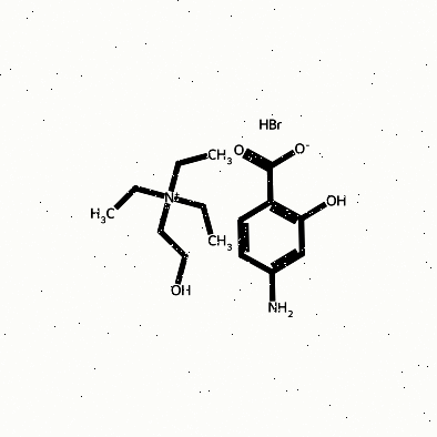 Br.CC[N+](CC)(CC)CCO.Nc1ccc(C(=O)[O-])c(O)c1